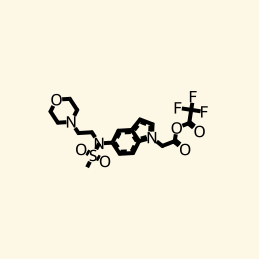 CS(=O)(=O)N(CCN1CCOCC1)c1ccc2c(ccn2CC(=O)OC(=O)C(F)(F)F)c1